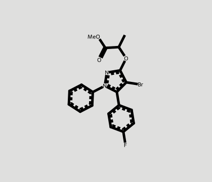 COC(=O)C(C)Oc1nn(-c2ccccc2)c(-c2ccc(F)cc2)c1Br